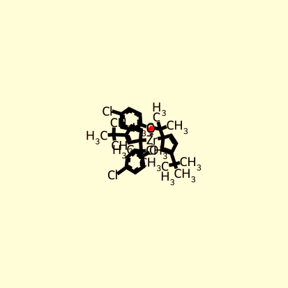 CC(C)(C)C1=C[C](C(C)(C)C)([Zr]([O]c2ccc(Cl)cc2)([O]c2ccc(Cl)cc2)[C]2(C(C)(C)C)C=CC(C(C)(C)C)=C2)C=C1